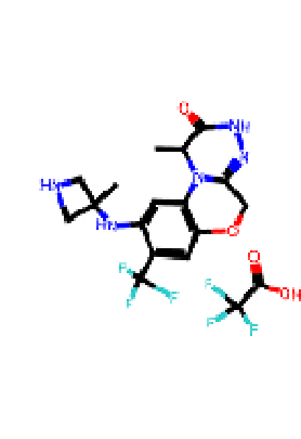 CC1C(=O)NN=C2COc3cc(C(F)(F)F)c(NC4(C)CNC4)cc3N21.O=C(O)C(F)(F)F